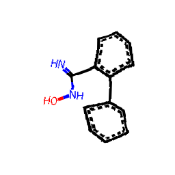 N=C(NO)c1ccccc1-c1cc[c]cc1